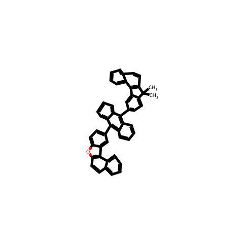 CC1(C)c2ccc(-c3c4ccccc4c(-c4ccc5oc6ccc7ccccc7c6c5c4)c4ccccc34)cc2-c2c1ccc1ccccc21